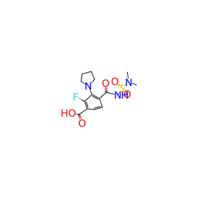 CN(C)S(=O)(=O)NC(=O)c1ccc(C(=O)O)c(F)c1N1CCCC1